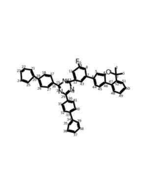 CC1(C)Oc2cc(-c3cc(F)cc(-c4nc(-c5ccc(-c6ccccc6)cc5)nc(-c5ccc(-c6ccccc6)cc5)n4)c3)ccc2-c2ccccc21